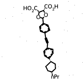 CCC[C@H]1CC[C@H](c2ccc(C#Cc3ccc(C4O[C@@H](C(=O)O)[C@H](C(=O)O)O4)cc3)cc2)CC1